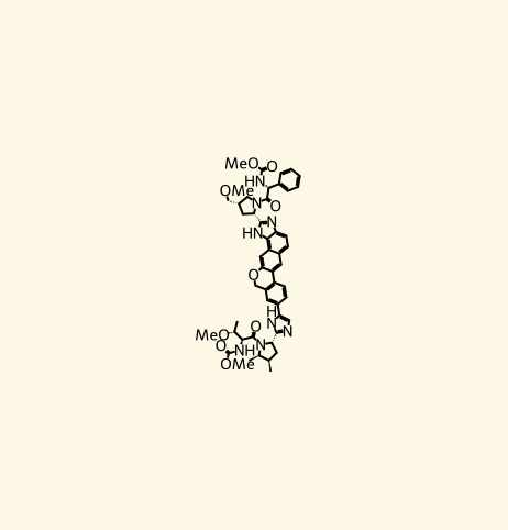 COC[C@H]1C[C@@H](c2nc3ccc4cc5c(cc4c3[nH]2)OCc2cc(-c3cnc([C@@H]4C[C@@H](C)[C@@H](C)N4C(=O)[C@@H](NC(=O)OC)[C@@H](C)OC)[nH]3)ccc2-5)N(C(=O)[C@H](NC(=O)OC)c2ccccc2)C1